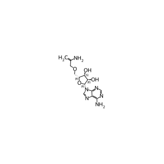 C=C(N)COC[C@H]1O[C@@H](n2cnc3c(N)ncnc32)[C@H](O)[C@@H]1O